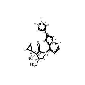 C[C@@H]1CN(c2ccnn3cc(-c4cn[nH]c4)cc23)C(=O)[C@]1(C#N)C1CC1